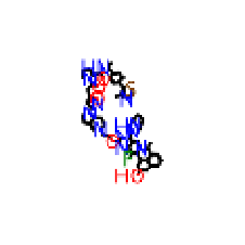 CCc1cccc2cc(O)cc(-c3ncc4c(N5CC6CCC(C5)N6)nc(OCCN5CCC6C(CCN6c6cc(CC(=O)N7CCCC7C(=O)NC(C)c7ccc(-c8scnc8C)cc7)on6)C5)nc4c3F)c12